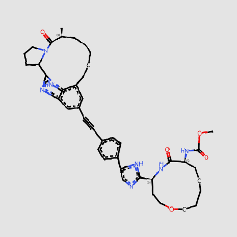 COC(=O)N[C@H]1CCCCCOCC[C@@H](c2ncc(-c3ccc(C#Cc4cc5c6[nH]c(nc6c4)C4CCCN4C(=O)[C@@H](C)CCCCC5)cc3)[nH]2)NC1=O